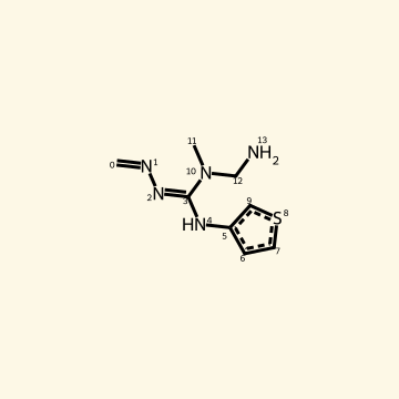 C=N/N=C(/Nc1ccsc1)N(C)CN